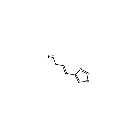 [CH2]CC=Cc1c[nH]cn1